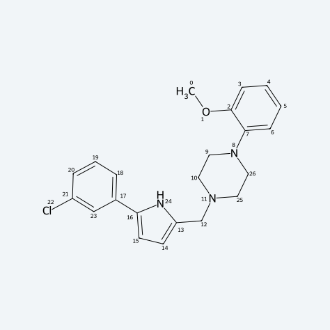 COc1ccccc1N1CCN(Cc2ccc(-c3cccc(Cl)c3)[nH]2)CC1